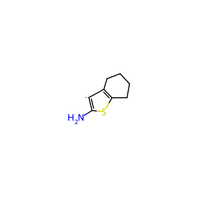 Nc1[c]c2c(s1)CCCC2